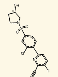 N#Cc1nc(-c2ccc(S(=O)(=O)N3CC[C@@H](O)C3)cc2Cl)ccc1F